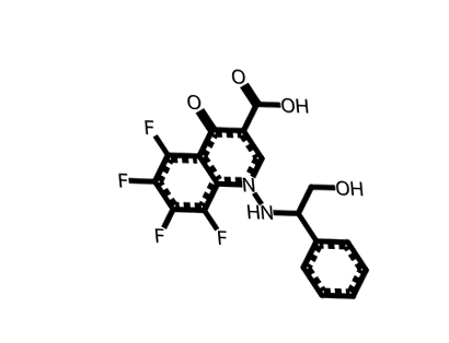 O=C(O)c1cn(NC(CO)c2ccccc2)c2c(F)c(F)c(F)c(F)c2c1=O